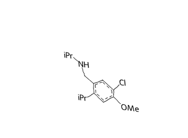 COc1cc(C(C)C)c(CNC(C)C)cc1Cl